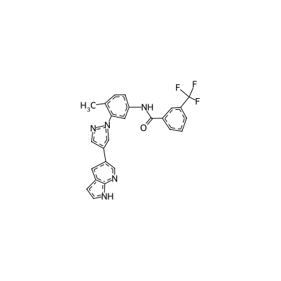 Cc1ccc(NC(=O)c2cccc(C(F)(F)F)c2)cc1-n1cc(-c2cnc3[nH]ccc3c2)cn1